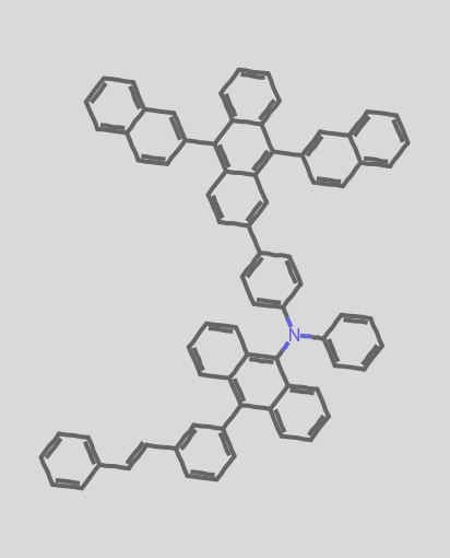 C(=C\c1cccc(-c2c3ccccc3c(N(c3ccccc3)c3ccc(-c4ccc5c(-c6ccc7ccccc7c6)c6ccccc6c(-c6ccc7ccccc7c6)c5c4)cc3)c3ccccc23)c1)/c1ccccc1